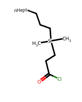 CCCCCCCCCC[Si](C)(C)CCC(=O)Cl